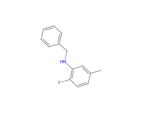 Cc1ccc(F)c(NCc2ccccc2)c1